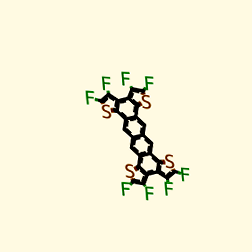 Fc1sc2c3cc4cc5c(cc4cc3c3sc(F)c(F)c3c2c1F)c1sc(F)c(F)c1c1c(F)c(F)sc51